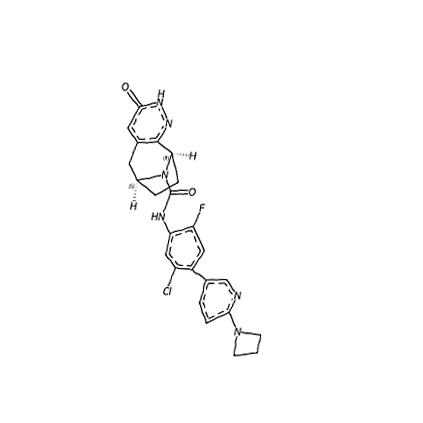 O=C(Nc1cc(Cl)c(-c2ccc(N3CCC3)nc2)cc1F)N1[C@H]2CC[C@@H]1c1n[nH]c(=O)cc1C2